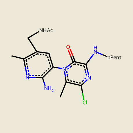 CCCCCNc1nc(Cl)c(C)n(-c2cc(CNC(C)=O)c(C)nc2N)c1=O